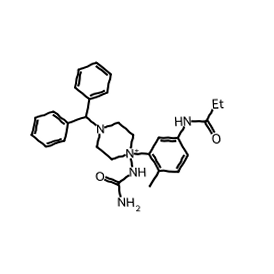 CCC(=O)Nc1ccc(C)c([N+]2(NC(N)=O)CCN(C(c3ccccc3)c3ccccc3)CC2)c1